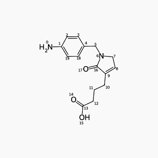 Nc1ccc(CN2CC=C(CCCC(=O)O)C2=O)cc1